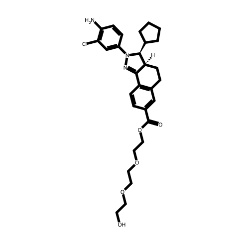 Nc1ccc(N2N=C3c4ccc(C(=O)OCCOCCOCCO)cc4CC[C@@H]3[C@@H]2C2CCCC2)cc1Cl